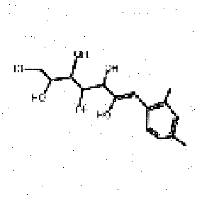 Cc1ccc(C=C(O)C(O)C(O)C(O)C(O)CO)c(C)c1